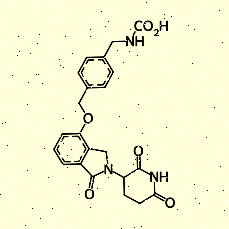 O=C(O)NCc1ccc(COc2cccc3c2CN(C2CCC(=O)NC2=O)C3=O)cc1